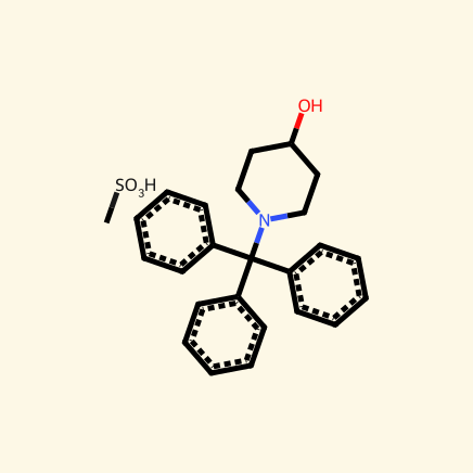 CS(=O)(=O)O.OC1CCN(C(c2ccccc2)(c2ccccc2)c2ccccc2)CC1